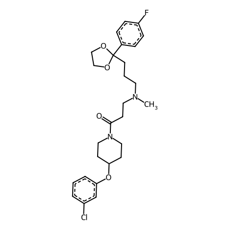 CN(CCCC1(c2ccc(F)cc2)OCCO1)CCC(=O)N1CCC(Oc2cccc(Cl)c2)CC1